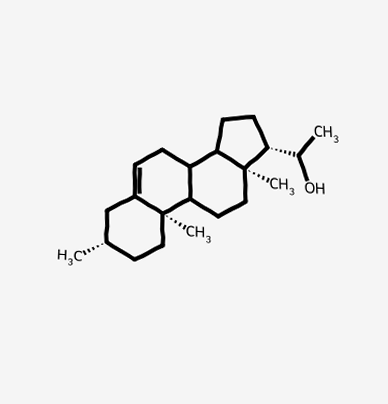 CC(O)[C@H]1CCC2C3CC=C4C[C@@H](C)CC[C@]4(C)C3CC[C@@]21C